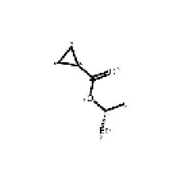 C[CH][C@@H](C)OC(=O)C1CC1